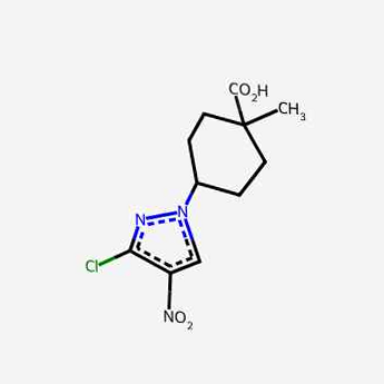 CC1(C(=O)O)CCC(n2cc([N+](=O)[O-])c(Cl)n2)CC1